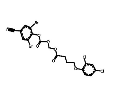 N#Cc1cc(Br)c(OC(=O)OCOC(=O)CCCOc2ccc(Cl)cc2Cl)c(Br)c1